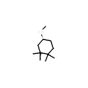 CO[C@H]1CCC(C)(C)C(C)(C)C1